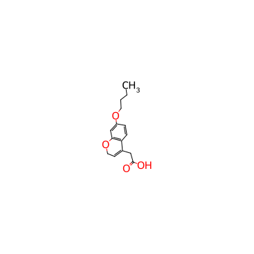 CCCCOc1ccc2c(c1)OCC=C2CC(=O)O